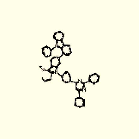 C=Nc1c(/C=C\C)n(-c2ccc(-c3cc(-c4ccccc4)nc(-c4ccccc4)n3)cc2)c2cc(-c3cccc4c5ccccc5n(-c5ccccc5)c34)ccc12